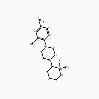 O=[N+]([O-])c1ccc(N2CCN(C3CCCCC3(F)F)CC2)c(F)c1